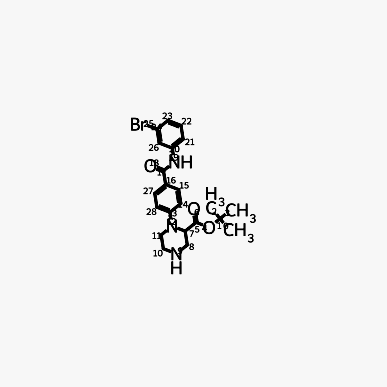 CC(C)(C)OC(=O)C1CNCCN1c1ccc(C(=O)Nc2cccc(Br)c2)cc1